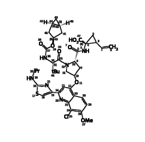 C=CC1C[C@]1(NC(=O)[C@@H]1CC(Oc2cc(-c3csc(NC(C)C)n3)nc3c(Cl)c(OC)ccc23)CN1C(=O)[C@@H](NC(=O)O[C@@H]1C[C@@H]2C[C@@H]2C1)C(C)(C)C)C(=O)O